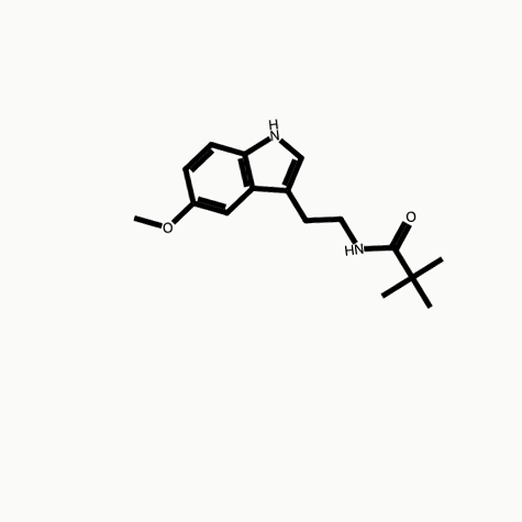 COc1ccc2[nH]cc(CCNC(=O)C(C)(C)C)c2c1